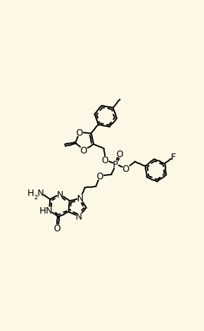 C=C1OC(COP(=O)(COCCn2cnc3c(=O)[nH]c(N)nc32)OCc2cccc(F)c2)=C(c2ccc(C)cc2)O1